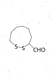 O=[C]C1CCCCCCSS1